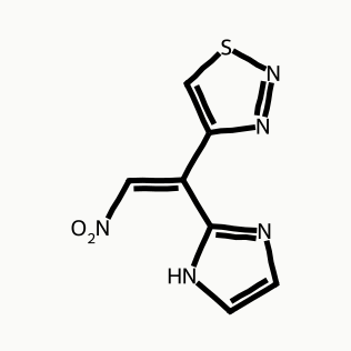 O=[N+]([O-])C=C(c1csnn1)c1ncc[nH]1